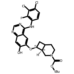 CC(C)(C)OC(=O)N1CCC2C[C@H](Oc3cc4c(Nc5ccc(Cl)c(Cl)c5F)ncnc4cc3O)[C@@H]2C1